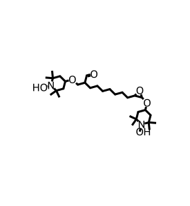 CC1(C)CC(OCC(C=O)CCCCCCCC2OC2OC2CC(C)(C)N(O)C(C)(C)C2)CC(C)(C)N1O